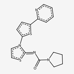 O=C(N=c1sccn1-c1ccc(-c2ccccn2)s1)N1CCCC1